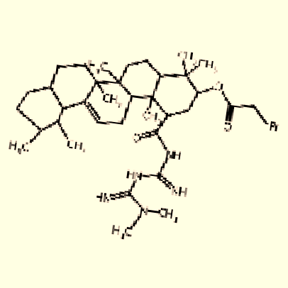 CC(C)CC(=O)OC1CC(C(=O)NC(=N)NC(=N)N(C)C)C2(C)C(CCC3(C)C2CC=C2C4C(CCC(C)C4C)CCC23C)C1(C)C